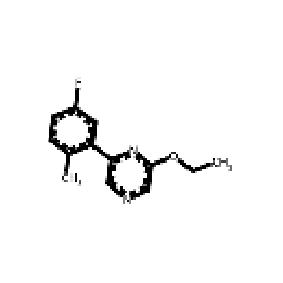 CCOc1cncc(-c2cc(F)ccc2C)n1